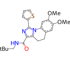 COc1cc2c(cc1OC)-n1c(-c3cccs3)nc(C(=O)NCC(C)(C)C)c1CC2